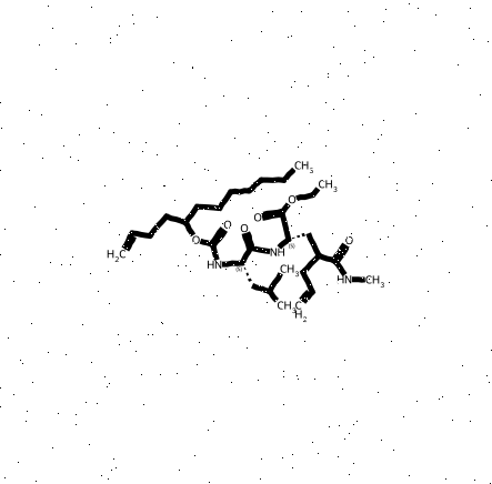 C=CCCC(CCCCCCC)OC(=O)N[C@@H](CC(C)C)C(=O)N[C@@H](CC(CC=C)C(=O)NC)C(=O)OCC